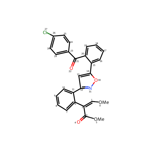 COC=C(C(=O)OC)c1ccccc1-c1cc(-c2ccccc2C(=O)c2ccc(Cl)cc2)on1